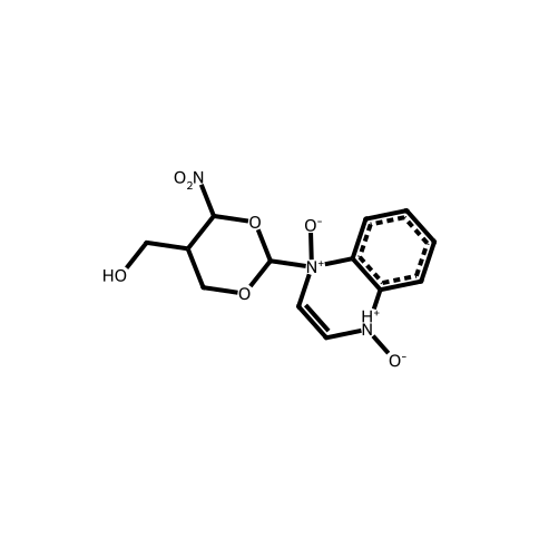 O=[N+]([O-])C1OC([N+]2([O-])C=C[NH+]([O-])c3ccccc32)OCC1CO